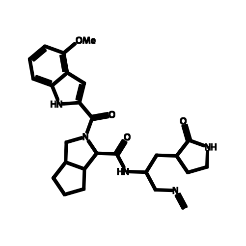 C=NCC(CC1CCNC1=O)NC(=O)C1C2CCCC2CN1C(=O)c1cc2c(OC)cccc2[nH]1